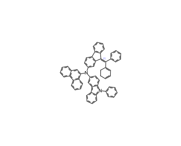 C1=CCCC(/C(=C2/c3ccccc3-c3ccc(N(c4ccc5c(c4)c4ccccc4n5-c4ccccc4)c4cc5ccccc5c5ccccc45)cc32)c2ccccc2)=C1